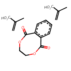 C=C(C)C(=O)O.C=C(C)C(=O)O.O=C1OCCOC(=O)c2ccccc21